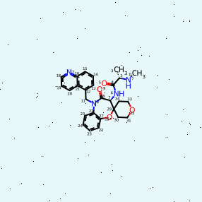 CN[C@@H](C)C(=O)N[C@@H]1C(=O)N(Cc2cccc3ncccc23)c2ccccc2OC12CCOCC2